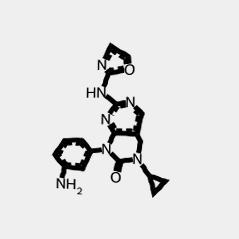 Nc1cccc(N2C(=O)N(C3CC3)Cc3cnc(Nc4ncco4)nc32)c1